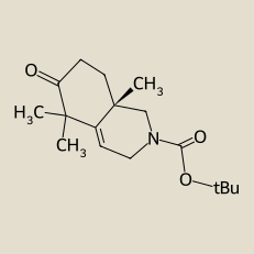 CC(C)(C)OC(=O)N1CC=C2C(C)(C)C(=O)CC[C@]2(C)C1